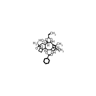 C=CC1O[C@@H]2C3=C(C)[C@@H](C)C[C@@](O)([C@@H](OC(=O)c4ccccc4)[C@H]4[C@](C)([C@@H]2O1)[C@@H](O)CC1CC[C@]14OC(C)=O)C3(C)C